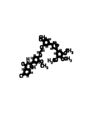 COc1cc(C2NC(=O)c3cc(Cl)ccc3N2)ccc1OCCOc1cc(C2=NOC(c3cc(OC)c(OC)c(OC)c3)C2)ccc1OC